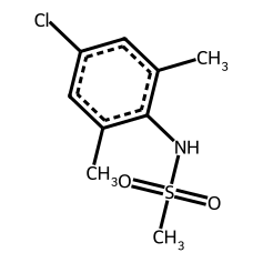 Cc1cc(Cl)cc(C)c1NS(C)(=O)=O